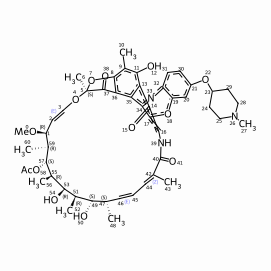 CO[C@H]1/C=C/O[C@@]2(C)Oc3c(C)c(O)c4c(=O)c(c5oc6cc(OC7CCN(C)CC7)ccc6nc-5c4c3C2=O)NC(=O)/C(C)=C\C=C\[C@H](C)[C@H](O)[C@@H](C)[C@@H](O)[C@@H](C)[C@H](OC(C)=O)[C@@H]1C